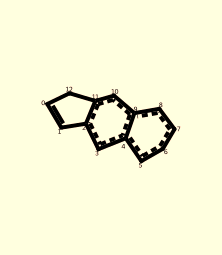 C1=Cc2cc3ccccc3cc2C1